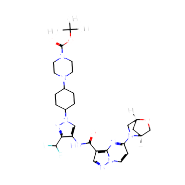 CC(C)(C)OC(=O)N1CCN(C2CCC(n3cc(NC(=O)c4cnn5ccc(N6C[C@H]7C[C@@H]6CO7)nc45)c(C(F)F)n3)CC2)CC1